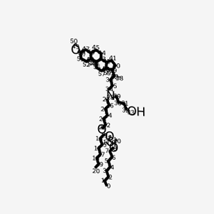 CCCCCCCCO[Si](C)(C)OC(CCCCCCC)OCCCCCCN(CCCCO)CCC[C@@H](C)C1CCC2C3CCC4C[C@H](OC)CC[C@]4(C)C3CC[C@@]21C